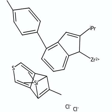 CC1=C2c3cscc3C1[Si]2(C)C.CCCCc1ccc(-c2cccc3c2C=C(C(C)C)[CH]3[Zr+2])cc1.[Cl-].[Cl-]